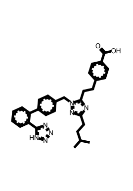 CC(C)CCc1nc(CCc2ccc(C(=O)O)cc2)n(Cc2ccc(-c3ccccc3-c3nnn[nH]3)cc2)n1